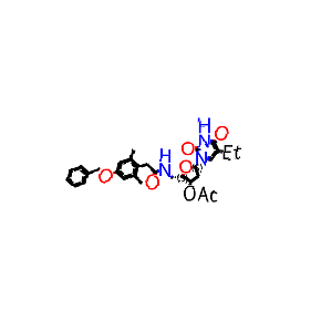 CCc1cn([C@@H]2CC(OC(C)=O)[C@H](CNC(=O)Cc3c(C)cc(OCc4ccccc4)cc3C)O2)c(=O)[nH]c1=O